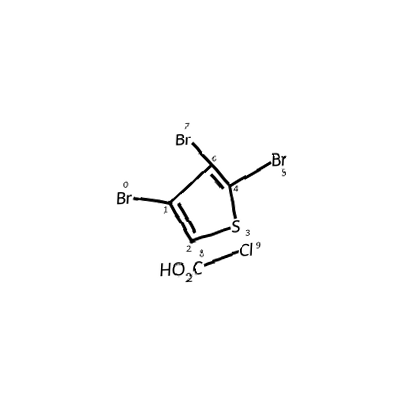 Brc1csc(Br)c1Br.O=C(O)Cl